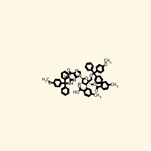 COc1ccc(C(Nc2nc3c(ncn3[C@@H]3O[C@@](COC(=O)c4ccc(C)cc4)(COC(c4ccccc4)(c4ccccc4)c4ccc(OC)cc4)[C@@H](c4cc(C)ccc4C(=O)O)[C@@H]3F)c(=O)[nH]2)(c2ccccc2)c2ccccc2)cc1